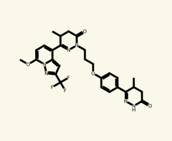 COc1ccc(C2=NN(CCCOc3ccc(C4=NNC(=O)CC4C)cc3)C(=O)CC2C)c2cc(C(F)(F)F)nn12